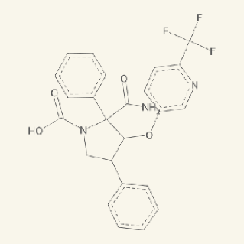 NC(=O)C1(c2ccccc2)C(Oc2ccc(C(F)(F)F)nc2)C(c2ccccc2)CN1C(=O)O